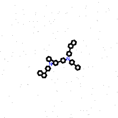 c1ccc(-c2ccc(N(c3ccc(-c4ccc5ccccc5c4)cc3)c3ccc(-c4ccc5c(c4)c4ccccc4n5-c4ccc(-c5cccc6ccccc56)cc4)cc3)cc2)cc1